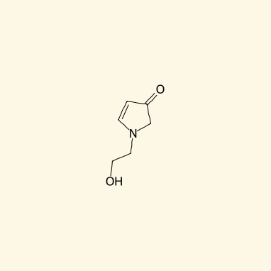 O=C1C=CN(CCO)C1